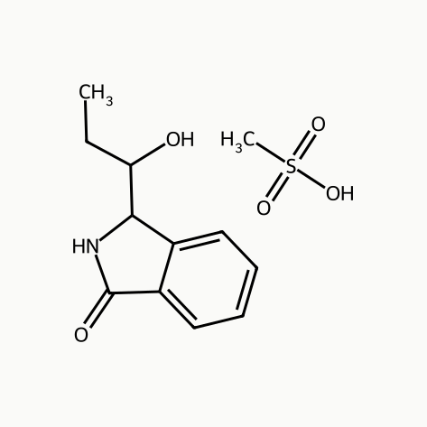 CCC(O)C1NC(=O)c2ccccc21.CS(=O)(=O)O